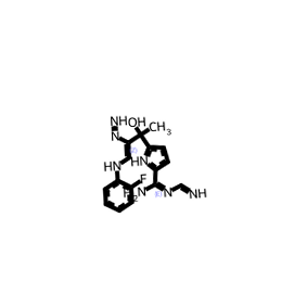 CC(O)(/C(=C/Nc1ccccc1F)N=N)c1ccc(/C(N)=N\C=N)[nH]1